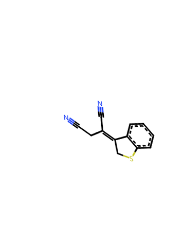 N#CC/C(C#N)=C1\CSc2ccccc21